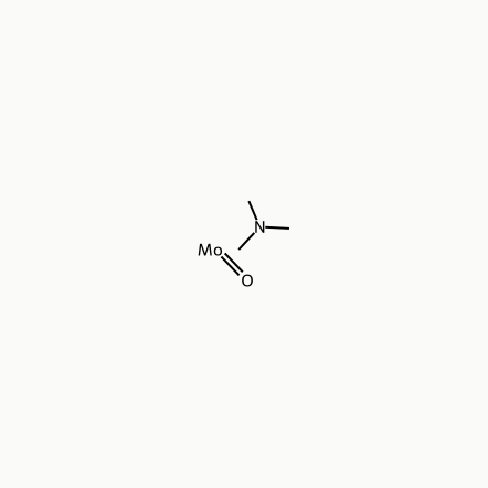 CN(C)C.[O]=[Mo]